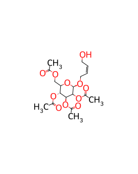 CC(=O)OCC1O[C@@H](OC/C=C\CO)C(OC(C)=O)[C@@H](OC(C)=O)[C@@H]1OC(C)=O